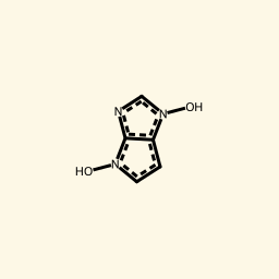 On1cnc2c1ccn2O